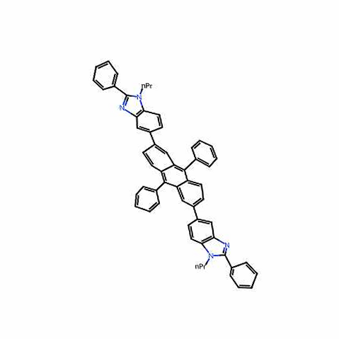 CCCn1c(-c2ccccc2)nc2cc(-c3ccc4c(-c5ccccc5)c5cc(-c6ccc7c(c6)nc(-c6ccccc6)n7CCC)ccc5c(-c5ccccc5)c4c3)ccc21